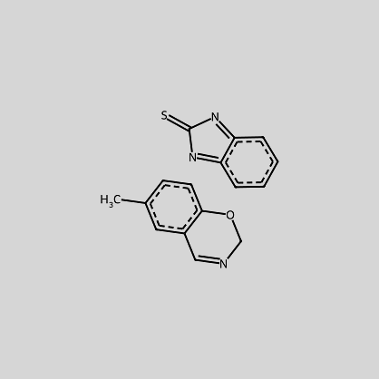 Cc1ccc2c(c1)C=NCO2.S=C1N=c2ccccc2=N1